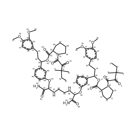 CCC(C)(C)C(=O)C(=O)N1CCCCC1C(=O)OC(CCc1ccc(OC)c(OC)c1)c1cccc(OC(NCCNC(Oc2cccc(C(CCc3ccc(OC)c(OC)c3)OC(=O)C3CCCCN3C(=O)C(=O)C(C)(C)CC)c2)C(N)=O)C(N)=O)c1